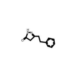 O=C1CC(CCc2ccccc2)=NN1